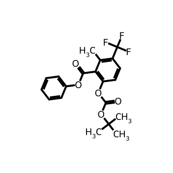 Cc1c(C(F)(F)F)ccc(OC(=O)OC(C)(C)C)c1C(=O)Oc1ccccc1